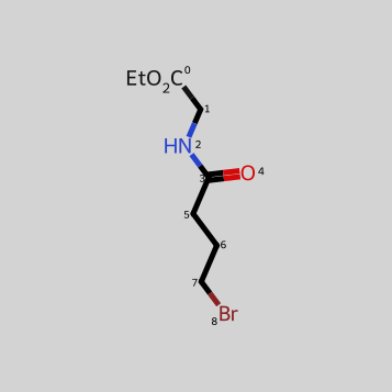 CCOC(=O)CNC(=O)CCCBr